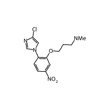 CNCCCOc1cc([N+](=O)[O-])ccc1-n1cnc(Cl)c1